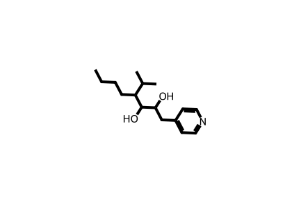 CCCCC(C(C)C)C(O)C(O)Cc1ccncc1